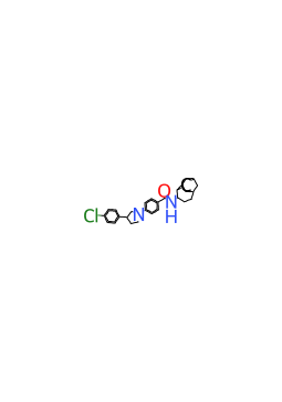 O=C(NC1CCC2CC3CC(C2)C1C3)c1ccc(N2CCC(c3ccc(Cl)cc3)C2)cc1